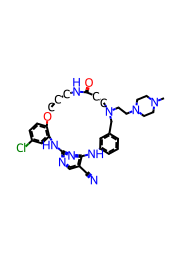 CN1CCN(CCN2CCC(=O)NCCCOc3ccc(Cl)cc3Nc3ncc(C#N)c(n3)Nc3cccc(c3)C2)CC1